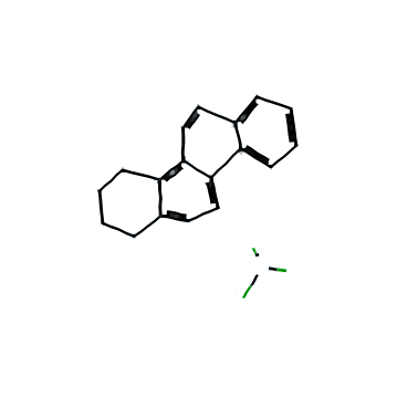 Cl[SiH](Cl)Cl.F.c1ccc2c(c1)ccc1c3c(ccc12)CCCC3